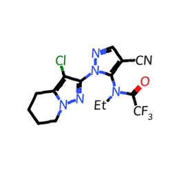 CCN(C(=O)C(F)(F)F)c1c(C#N)cnn1-c1nn2c(c1Cl)CCCC2